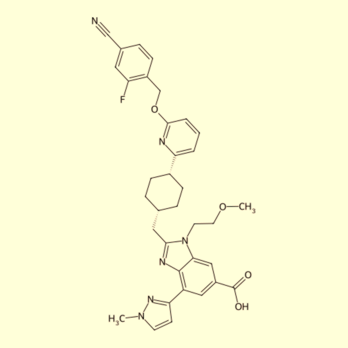 COCCn1c(C[C@H]2CC[C@@H](c3cccc(OCc4ccc(C#N)cc4F)n3)CC2)nc2c(-c3ccn(C)n3)cc(C(=O)O)cc21